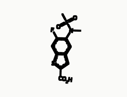 CN(c1cc2cc(C(=O)O)sc2cc1F)S(C)(=O)=O